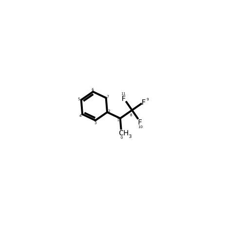 CC(C1C=CC=CC1)C(F)(F)F